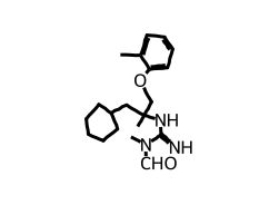 Cc1ccccc1OCC(C)(CC1CCCCC1)NC(=N)N(C)C=O